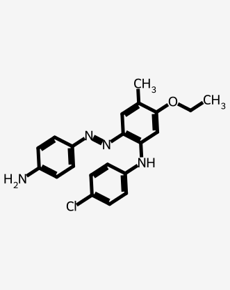 CCOc1cc(Nc2ccc(Cl)cc2)c(N=Nc2ccc(N)cc2)cc1C